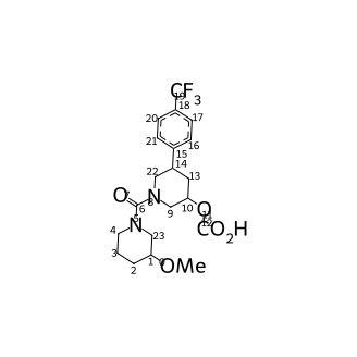 COC1CCCN(C(=O)N2CC(OC(=O)O)CC(c3ccc(C(F)(F)F)cc3)C2)C1